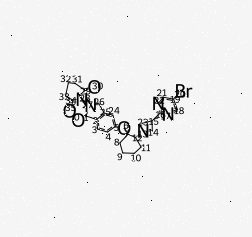 O=C1c2ccc(O[C@@H]3CCCC[C@H]3N3CC(c4ncc(Br)cn4)C3)cc2CN1N1C(=O)CCCC1=O